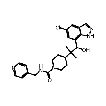 CC(C)(C1CCN(C(=O)NCc2ccncc2)CC1)[C@H](O)c1cc(Cl)cc2cn[nH]c12